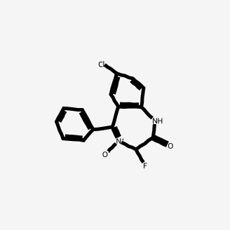 O=C1Nc2ccc(Cl)cc2C(c2ccccc2)=[N+]([O-])C1F